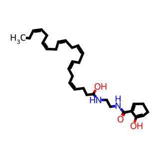 CC/C=C\C/C=C\C/C=C\C/C=C\C/C=C\C/C=C\CCC(O)NCCNC(=O)C1=CCCC=C1O